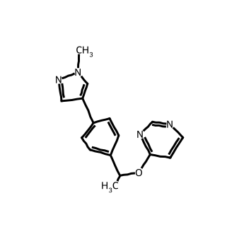 CC(Oc1ccncn1)c1ccc(-c2cnn(C)c2)cc1